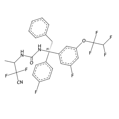 CC(NC(=O)N[C@](Cc1ccccc1)(c1ccc(F)cc1)c1cc(F)cc(OC(F)(F)C(F)F)c1)C(F)(F)C#N